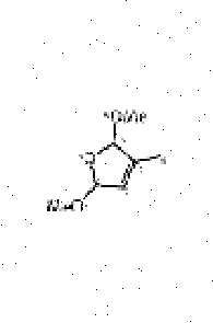 COC1C=C(C)C(OC)O1